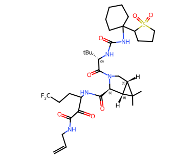 C=CCNC(=O)C(=O)C(CCC(F)(F)F)NC(=O)[C@@H]1[C@@H]2[C@H](CN1C(=O)[C@@H](NC(=O)NC1(C3CCCS3(=O)=O)CCCCC1)C(C)(C)C)C2(C)C